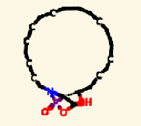 O=C1OP2(=O)N3CCCCCCCCCCCCCCCCCCC(O)[C@@]132